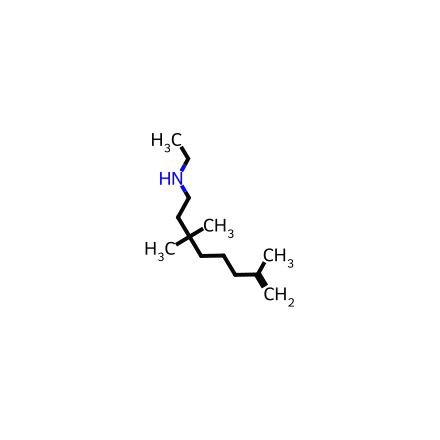 C=C(C)CCCC(C)(C)CCNCC